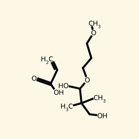 C=CC(=O)O.COCCCOC(O)C(C)(C)CO